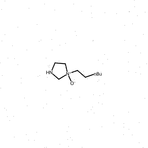 CCCCCC[N+]1([O-])CCNC1